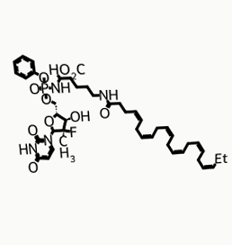 CC/C=C\C/C=C\C/C=C\C/C=C\C/C=C\C/C=C\CCC(=O)NCCCCC(NP(=O)(OC[C@H]1OC(n2ccc(=O)[nH]c2=O)[C@](C)(F)[C@@H]1O)Oc1ccccc1)C(=O)O